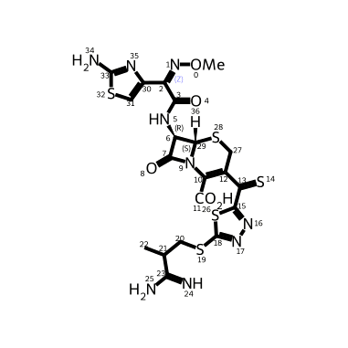 CO/N=C(\C(=O)N[C@@H]1C(=O)N2C(C(=O)O)=C(C(=S)c3nnc(SCC(C)C(=N)N)s3)CS[C@@H]12)c1csc(N)n1